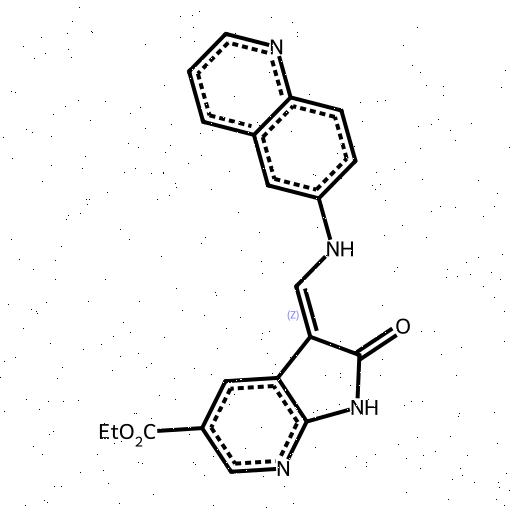 CCOC(=O)c1cnc2c(c1)/C(=C/Nc1ccc3ncccc3c1)C(=O)N2